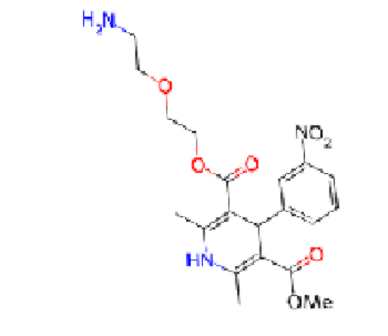 COC(=O)C1=C(C)NC(C)=C(C(=O)OCCOCCN)C1c1cccc([N+](=O)[O-])c1